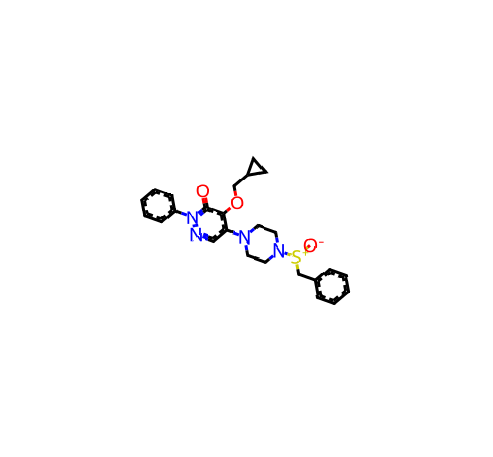 O=c1c(OCC2CC2)c(N2CCN([S+]([O-])Cc3ccccc3)CC2)cnn1-c1ccccc1